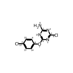 Nc1nc(Cl)nc(Oc2ccc(Cl)cc2)n1